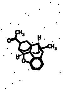 CC(=O)C1CC23CCC1[C@@H]1Oc4cccc5c4[C@@]12CCN(C)[C@@H]3C5